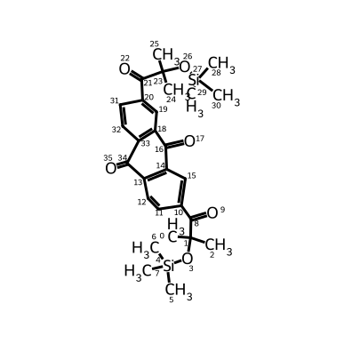 CC(C)(O[Si](C)(C)C)C(=O)c1ccc2c(c1)C(=O)c1cc(C(=O)C(C)(C)O[Si](C)(C)C)ccc1C2=O